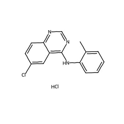 Cc1ccccc1Nc1ncnc2ccc(Cl)cc12.Cl